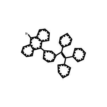 Brc1c2ccccc2c(-c2cccc(C(=C(c3ccccc3)c3ccccc3)c3ccccc3)c2)c2ccccc12